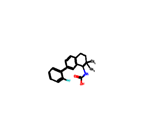 CC1(C)CCc2ccc(-c3ccccc3F)cc2C1NC(=O)O